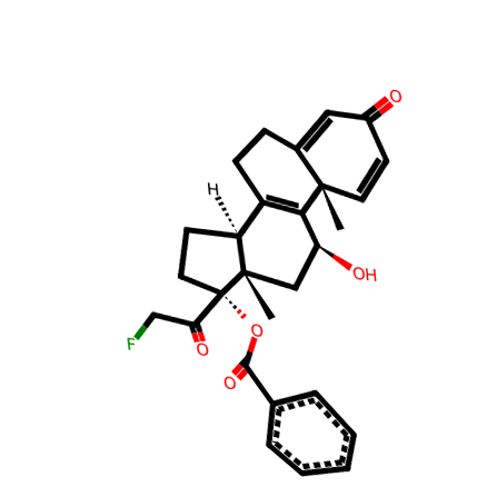 C[C@]12C=CC(=O)C=C1CCC1=C2[C@@H](O)C[C@@]2(C)[C@H]1CC[C@]2(OC(=O)c1ccccc1)C(=O)CF